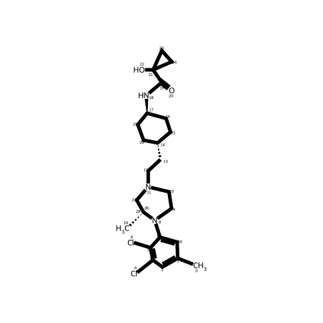 Cc1cc(Cl)c(Cl)c(N2CCN(CC[C@H]3CC[C@H](NC(=O)C4(O)CC4)CC3)C[C@H]2C)c1